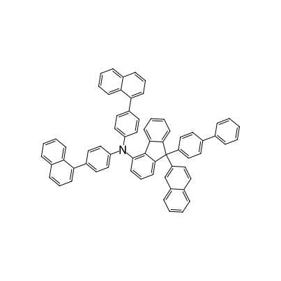 c1ccc(-c2ccc(C3(c4ccc5ccccc5c4)c4ccccc4-c4c(N(c5ccc(-c6cccc7ccccc67)cc5)c5ccc(-c6cccc7ccccc67)cc5)cccc43)cc2)cc1